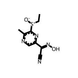 CC[S+]([O-])c1nc(/C(C#N)=N/O)cnc1C